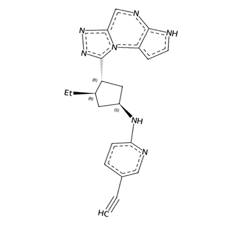 C#Cc1ccc(N[C@H]2C[C@@H](CC)[C@H](c3nnc4cnc5[nH]ccc5n34)C2)nc1